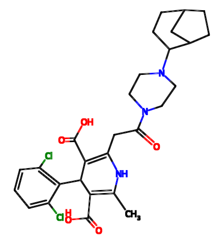 CC1=C(C(=O)O)C(c2c(Cl)cccc2Cl)C(C(=O)O)=C(CC(=O)N2CCN(C3CCC4CCC3C4)CC2)N1